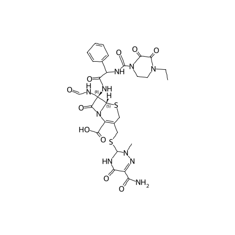 CCN1CCN(C(=O)NC(C(=O)N[C@]2(NC=O)C(=O)N3C(C(=O)O)=C(CSC4NC(=O)C(C(N)=O)=NN4C)CS[C@H]32)c2ccccc2)C(=O)C1=O